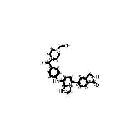 CCN1CCN(C(=O)c2ccc(NC3=CC=C(c4ccc5c(c4)CNC5=O)N4C=CNC34)cc2)CC1